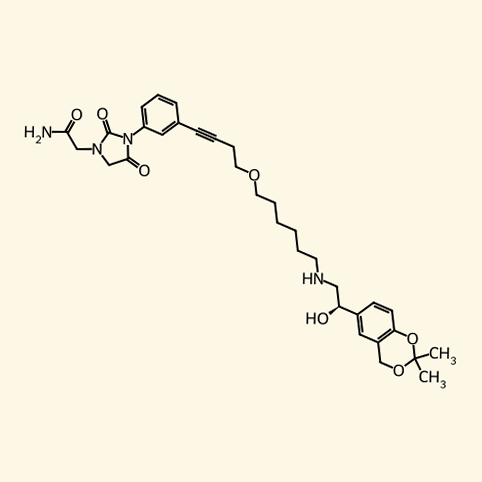 CC1(C)OCc2cc([C@@H](O)CNCCCCCCOCCC#Cc3cccc(N4C(=O)CN(CC(N)=O)C4=O)c3)ccc2O1